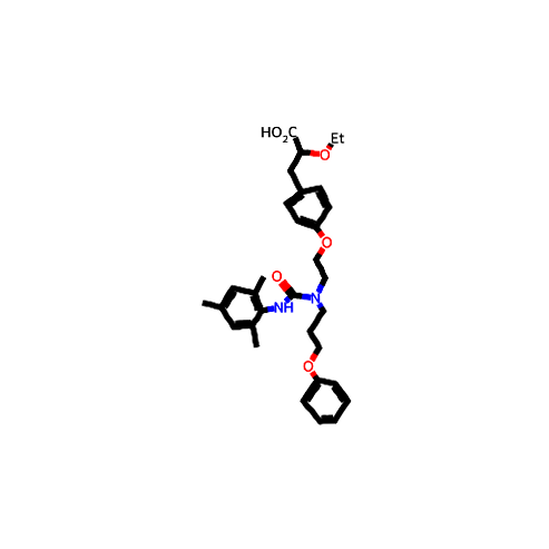 CCOC(Cc1ccc(OCCN(CCCOc2ccccc2)C(=O)Nc2c(C)cc(C)cc2C)cc1)C(=O)O